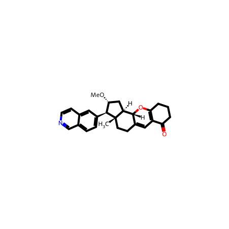 CO[C@@H]1C[C@H]2[C@@H]3OC4=C(C=C3CC[C@]2(C)[C@H]1c1ccc2cnccc2c1)C(=O)CCC4